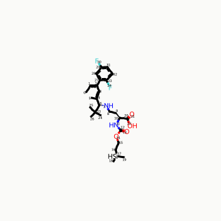 C/C=C(\C=C(/C)[C@H](NCC[C@H](NC(=O)OCC[SiH](C)C)C(=O)O)C(C)(C)C)c1cc(F)ccc1F